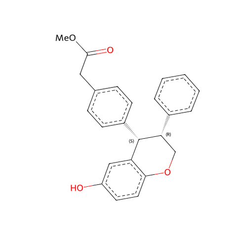 COC(=O)Cc1ccc([C@H]2c3cc(O)ccc3OC[C@H]2c2ccccc2)cc1